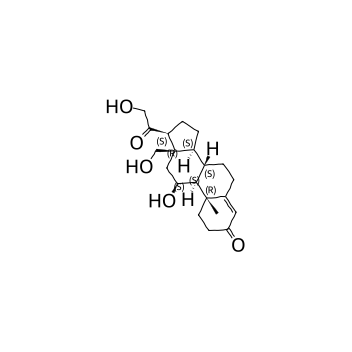 C[C@]12CCC(=O)C=C1CC[C@@H]1[C@@H]2[C@@H](O)C[C@]2(CO)[C@@H](C(=O)CO)CC[C@@H]12